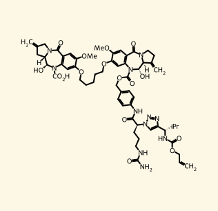 C=CCOC(=O)N[C@H](c1cn([C@@H](CCCNC(N)=O)C(=O)Nc2ccc(COC(=O)N3c4cc(OCCCCCOc5cc6c(cc5OC)C(=O)N5CC(=C)C[C@H]5[C@H](O)N6C(=O)O)c(OC)cc4C(=O)N4CCC(=C)[C@H]4[C@@H]3O)cc2)nn1)C(C)C